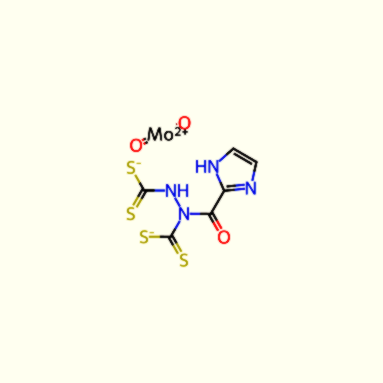 O=C(c1ncc[nH]1)N(NC(=S)[S-])C(=S)[S-].[O]=[Mo+2]=[O]